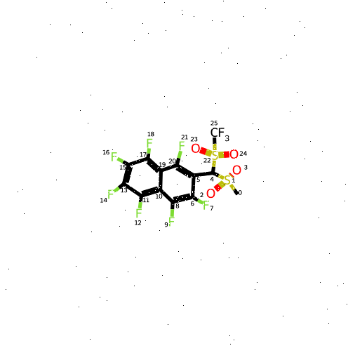 CS(=O)(=O)C(c1c(F)c(F)c2c(F)c(F)c(F)c(F)c2c1F)S(=O)(=O)C(F)(F)F